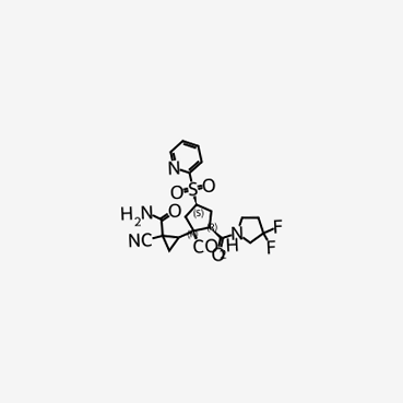 N#CC1(C(N)=O)CC1[C@]1(C(=O)O)C[C@@H](S(=O)(=O)c2ccccn2)C[C@H]1C(=O)N1CCC(F)(F)C1